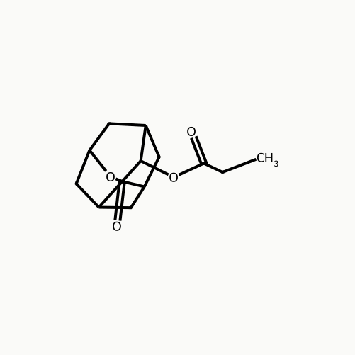 CCC(=O)OC1C2CC3CC1CC(C2)C(=O)O3